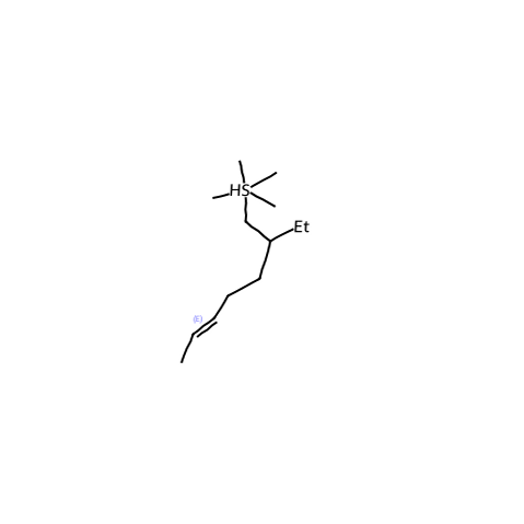 C/C=C/CCC(CC)C[SH](C)(C)(C)C